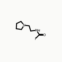 O=C(I)NCCN1CCCC1